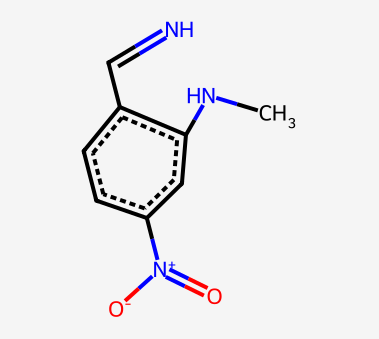 CNc1cc([N+](=O)[O-])ccc1C=N